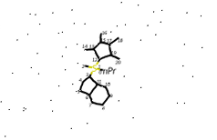 CCCS(C)(C1CCC2CCCCC21)C1C(C)C(C)C(C)C1C